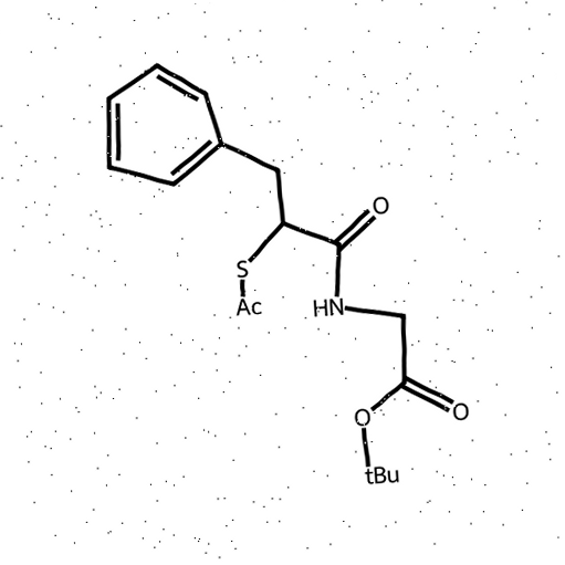 CC(=O)SC(Cc1ccccc1)C(=O)NCC(=O)OC(C)(C)C